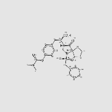 CN(C)C(=O)Oc1ccc(C[C@H](NC(=O)C2(N(C)S(=O)(=O)Cc3ccccc3)CCCC2)C(=O)O)cc1